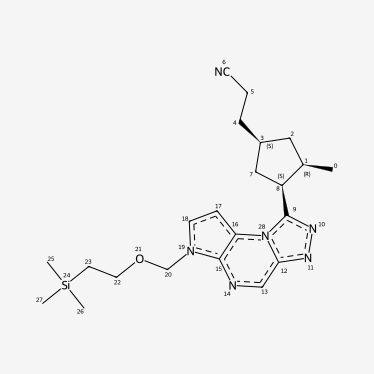 C[C@@H]1C[C@H](CCC#N)C[C@@H]1c1nnc2cnc3c(ccn3COCC[Si](C)(C)C)n12